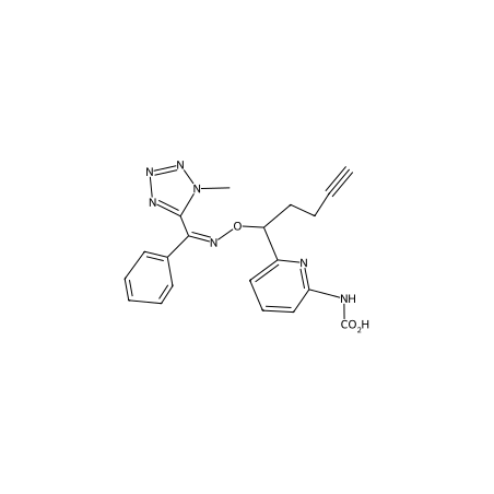 C#CCCC(O/N=C(/c1ccccc1)c1nnnn1C)c1cccc(NC(=O)O)n1